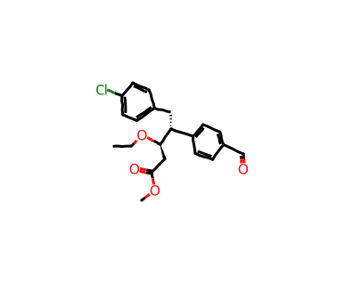 CCO[C@H](CC(=O)OC)[C@H](Cc1ccc(Cl)cc1)c1ccc(C=O)cc1